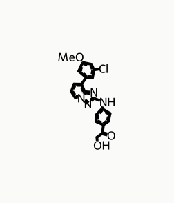 COc1cc(Cl)cc(-c2cccn3nc(Nc4ccc(C(=O)CO)cc4)nc23)c1